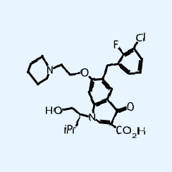 CC(C)[C@@H](CO)n1cc(C(=O)O)c(=O)c2cc(Cc3cccc(Cl)c3F)c(OCCN3CCCCC3)cc21